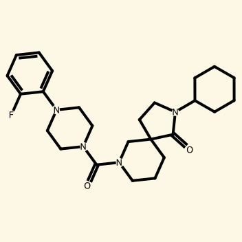 O=C(N1CCN(c2ccccc2F)CC1)N1CCCC2(CCN(C3CCCCC3)C2=O)C1